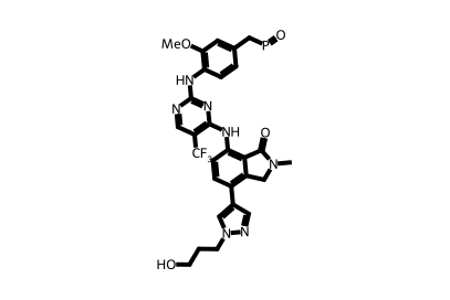 COc1cc(CP=O)ccc1Nc1ncc(C(F)(F)F)c(Nc2ccc(-c3cnn(CCCO)c3)c3c2C(=O)N(C)C3)n1